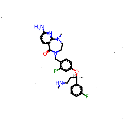 CNCC[C@@](C)(Oc1ccc(CN2CCN(C)c3nc(N)ccc3C2=O)c(F)c1)c1cccc(F)c1